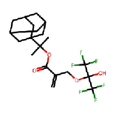 C=C(COC(O)(C(F)(F)F)C(F)(F)F)C(=O)OC(C)(C)C12CC3CC(CC(C3)C1)C2